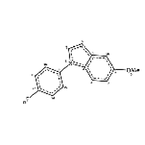 COc1ccc2c(c[c]n2-c2ccc(F)cc2)c1